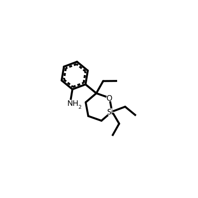 CCC1(c2ccccc2N)CCC[Si](CC)(CC)O1